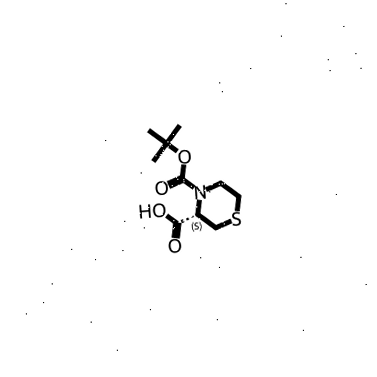 CC(C)(C)OC(=O)N1CCSC[C@@H]1C(=O)O